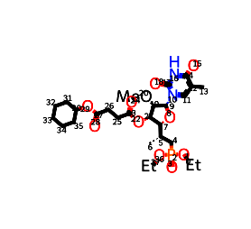 CCOP(=O)(C[C@H](C)[C@H]1O[C@@H](n2cc(C)c(=O)[nH]c2=O)[C@H](OC)[C@@H]1OC(=O)CCC(=O)OC1CCCCC1)OCC